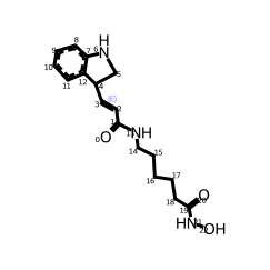 O=C(/C=C/C1CNc2ccccc21)NCCCCCC(=O)NO